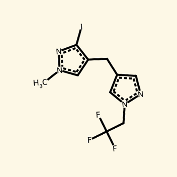 Cn1cc(Cc2cnn(CC(F)(F)F)c2)c(I)n1